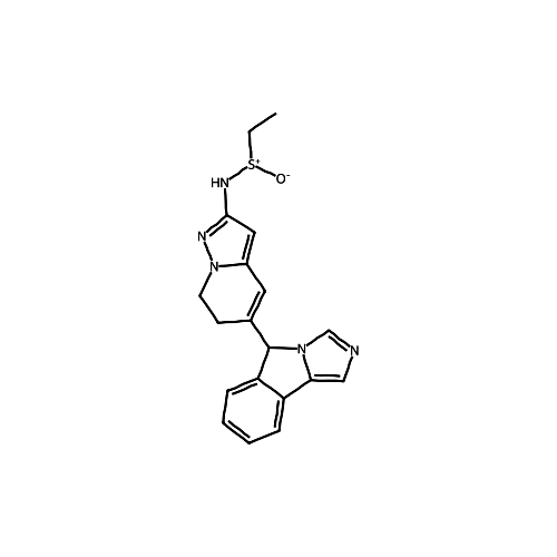 CC[S+]([O-])Nc1cc2n(n1)CCC(C1c3ccccc3-c3cncn31)=C2